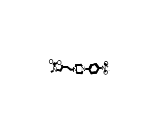 CN1CC(CCN2CCN(c3ccc([N+](=O)[O-])cc3)CC2)OC1=O